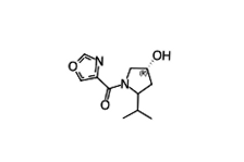 CC(C)C1C[C@@H](O)CN1C(=O)c1cocn1